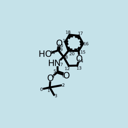 CC(C)(C)OC(=O)NC1(C(=O)O)CCOc2ccccc21